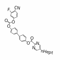 CCCCCCCc1cnc(C(=O)Oc2ccc(-c3ccc(OC(=O)Oc4ccc(C#N)c(F)c4)cc3)cc2)nc1